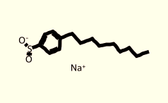 CCCCCCCCCc1ccc(S(=O)[O-])cc1.[Na+]